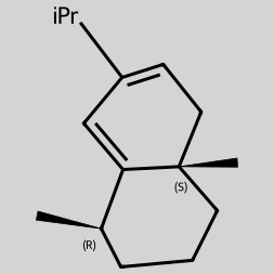 CC(C)C1=CC[C@]2(C)CCC[C@@H](C)C2=C1